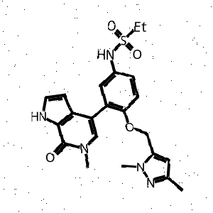 CCS(=O)(=O)Nc1ccc(OCc2cc(C)nn2C)c(-c2cn(C)c(=O)c3[nH]ccc23)c1